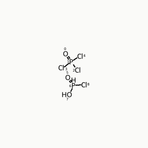 O=P(Cl)(Cl)Cl.O=[PH](O)Cl